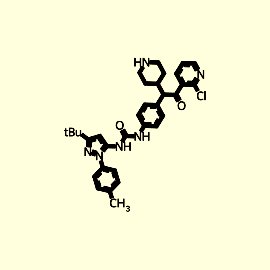 Cc1ccc(-n2nc(C(C)(C)C)cc2NC(=O)Nc2ccc(C(C(=O)c3cccnc3Cl)C3CCNCC3)cc2)cc1